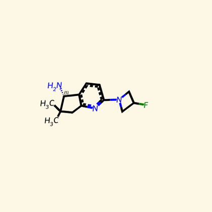 CC1(C)Cc2nc(N3CC(F)C3)ccc2[C@H]1N